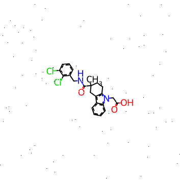 CC1(C(=O)NCc2cccc(Cl)c2Cl)CCc2c(c3ccccc3n2CC(=O)O)C1